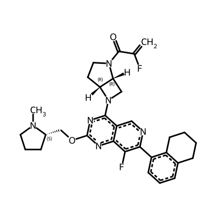 C=C(F)C(=O)N1CC[C@@H]2[C@H]1CN2c1nc(OC[C@@H]2CCCN2C)nc2c(F)c(-c3cccc4c3CCCC4)ncc12